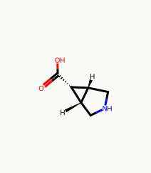 O=C(O)[C@@H]1[C@@H]2CNC[C@@H]21